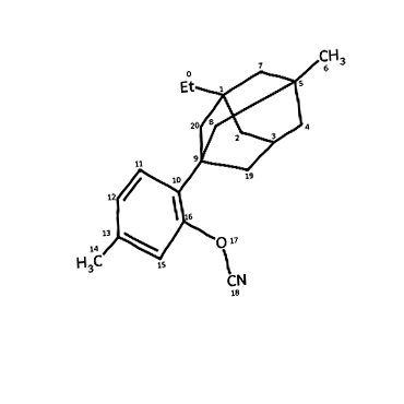 CCC12CC3CC(C)(C1)CC(c1ccc(C)cc1OC#N)(C3)C2